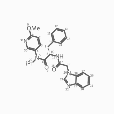 COc1ccc(N(C(=O)[C@H](Cc2ccccc2)NC(=O)Cn2cnc3ccccc32)C(C)C)cn1